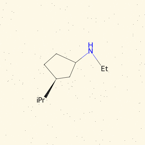 CCNC1CC[C@H](C(C)C)C1